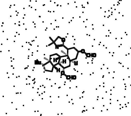 CC[C@@H](C)[C@H]1CC[C@H]2[C@@H]3[C@@H](OC=O)C[C@@H]4C[C@H](OC=O)CC(C5=NC(C)(C)CO5)[C@]4(C)[C@H]3CC[C@]12C